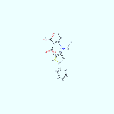 CCC(=C(C(=O)O)C(=O)O)N(CC)c1csc(-c2ccccc2)c1